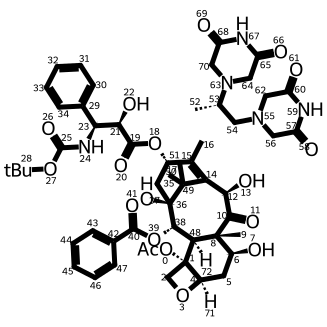 CC(=O)O[C@@]12CO[C@@H]1C[C@H](O)[C@@]1(C)C(=O)[C@H](O)C3=C(C)[C@@H](OC(=O)[C@H](O)[C@@H](NC(=O)OC(C)(C)C)c4ccccc4)C[C@@](O)([C@@H](OC(=O)c4ccccc4)[C@H]21)C3(C)C.C[C@@H](CN1CC(=O)NC(=O)C1)N1CC(=O)NC(=O)C1